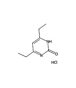 CCc1cc(CC)[nH]c(=O)n1.Cl